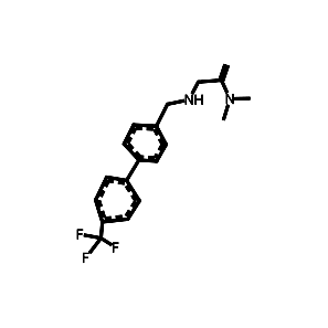 C=C(CNCc1ccc(-c2ccc(C(F)(F)F)cc2)cc1)N(C)C